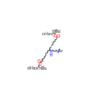 CCCCCCC(CCCC)COC(=O)CCCCCCCCC(CCCCCCCCC(=O)OCC(CCCC)CCCCCC)NCCCN(C)C(C)=O